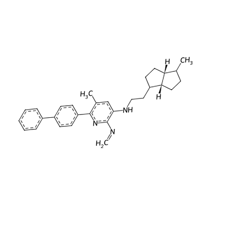 C=Nc1nc(-c2ccc(-c3ccccc3)cc2)c(C)cc1NCCC1CC[C@@H]2C(C)CC[C@H]12